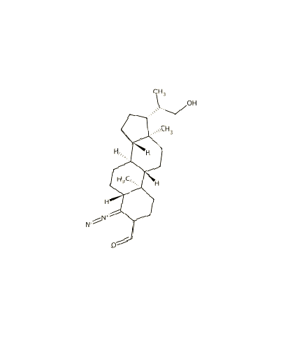 CC(CO)[C@H]1CC[C@H]2[C@@H]3CC[C@H]4C(=[N+]=[N-])C(C=O)CC[C@]4(C)[C@H]3CC[C@]12C